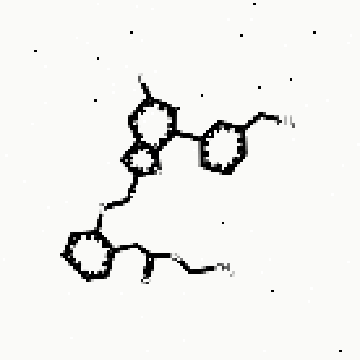 CCOC(=O)Cc1ccccc1OCc1cc2cc(F)cc(-c3cccc(CN)c3)c2o1